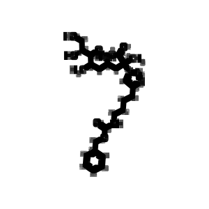 COC(=O)C(C)(CC(O)CC(C)C(O)[C@H](O)CO)n1cc(CCCCNC(=O)OCc2ccccc2)nn1